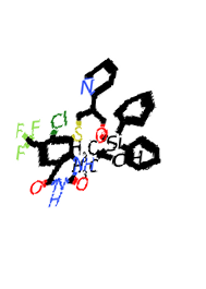 CC(C)(C)[Si](OCC(CSc1c(Cl)c(C(F)(F)F)cc2c(=O)[nH]c(=O)[nH]c12)c1ccccn1)(c1ccccc1)c1ccccc1